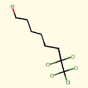 [O]CCCCCCC(Cl)(Cl)C(Cl)(Cl)Cl